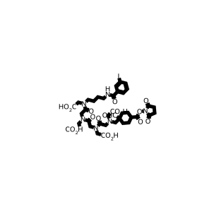 O=CC1(CN(CC(=O)O)CC(=O)N(CC(=O)O)CC(=O)N(CC(=O)O)CC(=O)N(CCCCNC(=O)c2cccc(I)c2)CC(=O)O)CCC(C(=O)ON2C(=O)CCC2=O)CC1